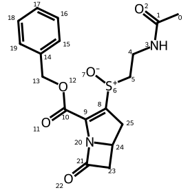 CC(=O)NCC[S+]([O-])C1=C(C(=O)OCc2ccccc2)N2C(=O)CC2C1